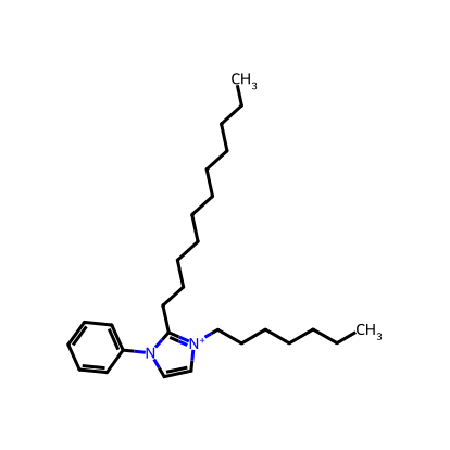 CCCCCCCCCCCc1n(-c2ccccc2)cc[n+]1CCCCCCC